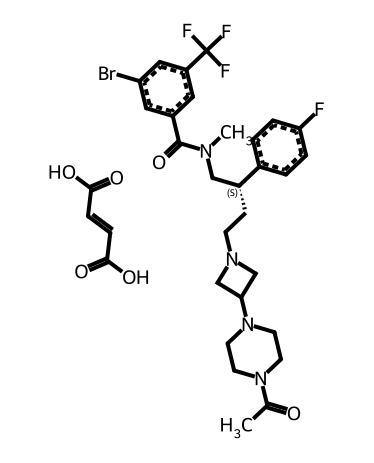 CC(=O)N1CCN(C2CN(CC[C@H](CN(C)C(=O)c3cc(Br)cc(C(F)(F)F)c3)c3ccc(F)cc3)C2)CC1.O=C(O)C=CC(=O)O